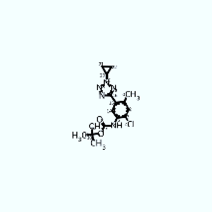 Cc1cc(Cl)c(NC(=O)OC(C)(C)C)cc1-c1nnn(C2CC2)n1